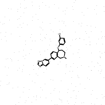 CN1CCC(Oc2cccc(Cl)c2)c2ccc(-c3ccc4ncnn4c3)cc2C1